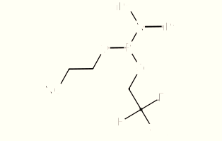 CC(C)N(C(C)C)P(OCCC#N)OCC(F)(F)C(F)(F)F